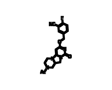 CC(=O)N1CCN2c3cc(OCc4ccc(F)c(C#N)c4)nc(=O)n3CC2C1